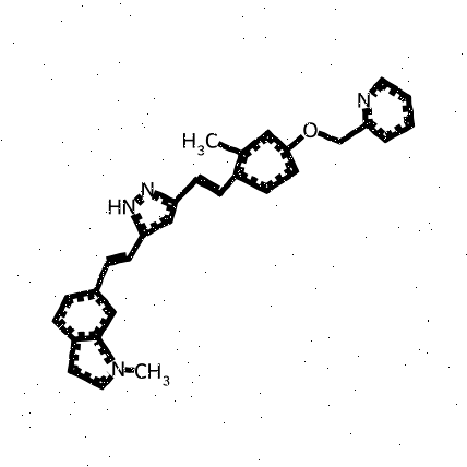 Cc1cc(OCc2ccccn2)ccc1C=Cc1cc(C=Cc2ccc3ccn(C)c3c2)[nH]n1